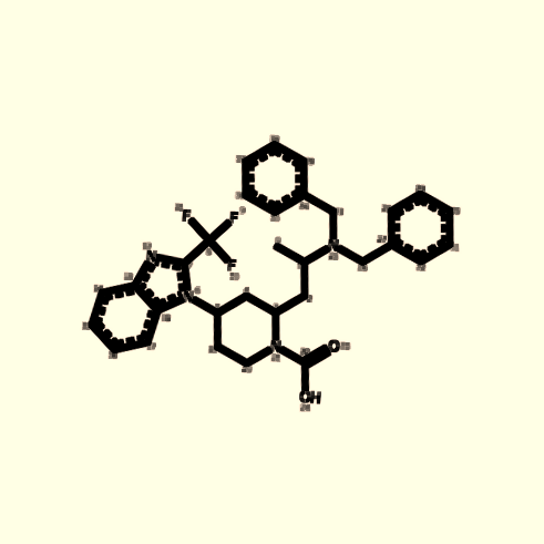 CC(CC1CC(n2c(C(F)(F)F)nc3ccccc32)CCN1C(=O)O)N(Cc1ccccc1)Cc1ccccc1